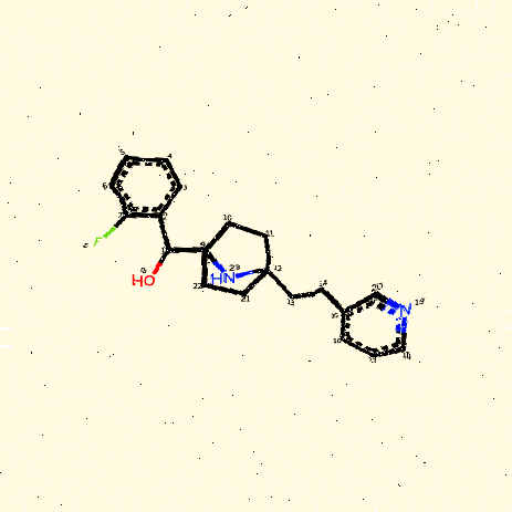 OC(c1ccccc1F)C12CCC(CCc3cccnc3)(CC1)N2